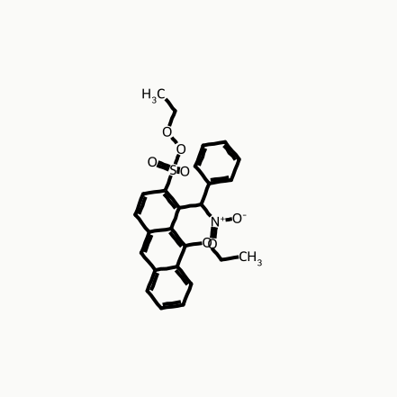 CCOOS(=O)(=O)c1ccc2cc3ccccc3c(OCC)c2c1C(c1ccccc1)[N+](=O)[O-]